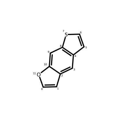 c1cc2cc3ccsc3cc2o1